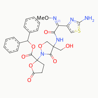 CO/N=C(\C(=O)NC1(CO)CON(C2(C(=O)OC(c3ccccc3)c3ccccc3)CCC(=O)O2)C1=O)c1csc(N)n1